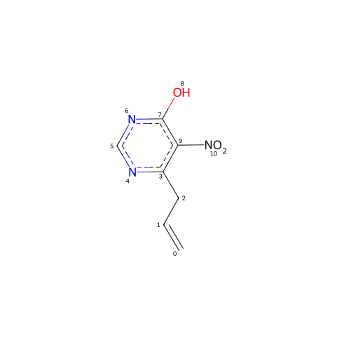 C=CCc1ncnc(O)c1[N+](=O)[O-]